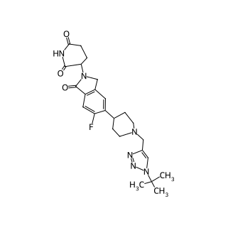 CC(C)(C)n1cc(CN2CCC(c3cc4c(cc3F)C(=O)N(C3CCC(=O)NC3=O)C4)CC2)nn1